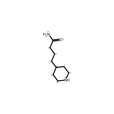 NC(=O)CC[CH]C1CCNCC1